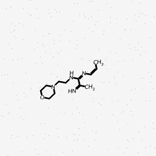 C/C=C\N=C(\NCCN1CCOCC1)C(C)=N